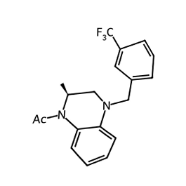 CC(=O)N1c2ccccc2N(Cc2cccc(C(F)(F)F)c2)C[C@@H]1C